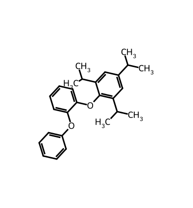 CC(C)c1cc(C(C)C)c(Oc2ccccc2Oc2ccccc2)c(C(C)C)c1